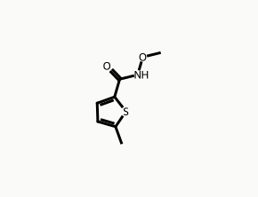 CONC(=O)c1ccc(C)s1